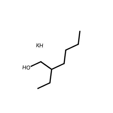 CCCCC(CC)CO.[KH]